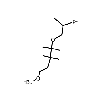 CC(C)C(C)COC(C)(C)C(C)(C)CCOC(C)(C)C